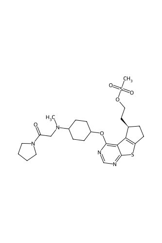 CN(CC(=O)N1CCCC1)C1CCC(Oc2ncnc3sc4c(c23)[C@@H](CCOS(C)(=O)=O)CC4)CC1